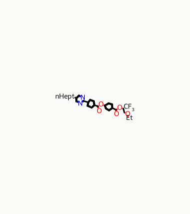 CCCCCCCc1cnc(-c2ccc(C(=O)Oc3ccc(C(=O)OC(COCC)C(F)(F)F)cc3)cc2)nc1